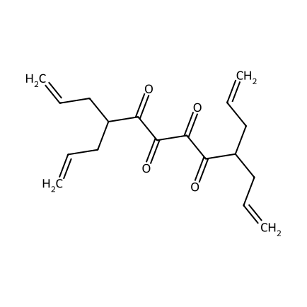 C=CCC(CC=C)C(=O)C(=O)C(=O)C(=O)C(CC=C)CC=C